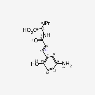 CC(C)C(NC(=O)/C=C/c1cc(N)ccc1O)C(=O)O